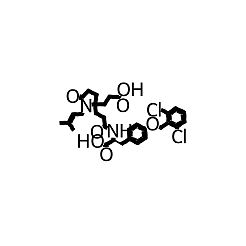 CC(C)=CCN1C(=O)CCC1(CCC(=O)O)CCC(=O)N[C@@H](Cc1ccc(OCc2c(Cl)cccc2Cl)cc1)C(=O)O